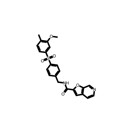 COc1cc(S(=O)(=O)c2ccc(CNC(=O)c3cc4ccncc4o3)cc2)ccc1C